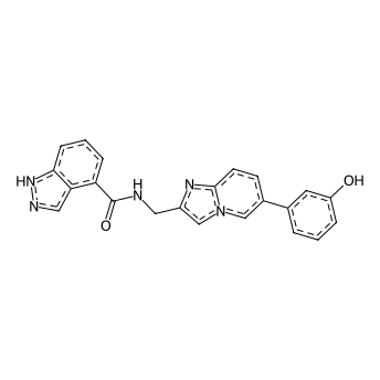 O=C(NCc1cn2cc(-c3cccc(O)c3)ccc2n1)c1cccc2[nH]ncc12